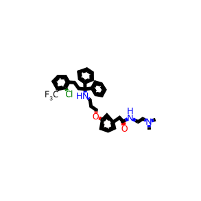 CN(C)CCNC(=O)Cc1cccc(OCCCNC(CCc2cccc(C(F)(F)F)c2Cl)(c2ccccc2)c2ccccc2)c1